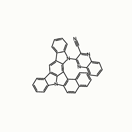 N#Cc1nc2ccccc2nc1-n1c2ccccc2c2cc3c4ccccc4n4c5ccc6ccccc6c5c(c21)c34